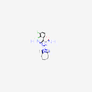 NC(=O)c1nc(N2C[C@H]3CCCCC[C@@H](C2)C3N)nc(N)c1-c1cccc(Cl)c1Cl